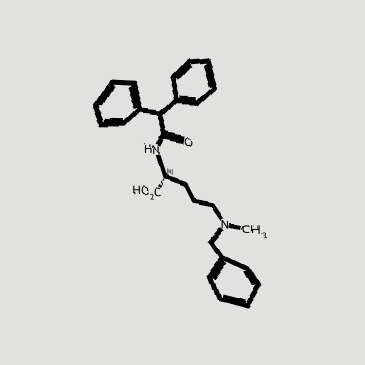 CN(CCC[C@@H](NC(=O)C(c1ccccc1)c1ccccc1)C(=O)O)Cc1ccccc1